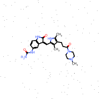 Cc1[nH]c(/C=C2\C(=O)Nc3ccc(NC(N)=O)cc32)c(C)c1CCC(=O)N1CCN(C)CC1